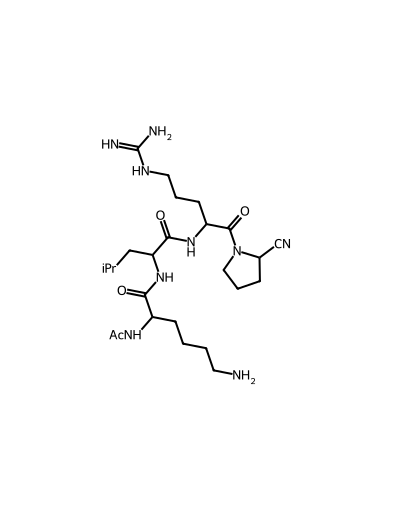 CC(=O)NC(CCCCN)C(=O)NC(CC(C)C)C(=O)NC(CCCNC(=N)N)C(=O)N1CCCC1C#N